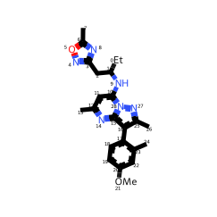 CCC(Cc1noc(C)n1)Nc1cc(C)nc2c(-c3ccc(OC)cc3C)c(C)nn12